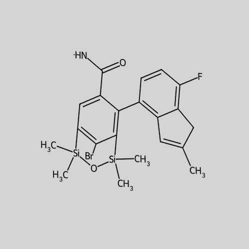 CC1=Cc2c(-c3c(C([NH])=O)cc4c(Br)c3[Si](C)(C)O[Si]4(C)C)ccc(F)c2C1